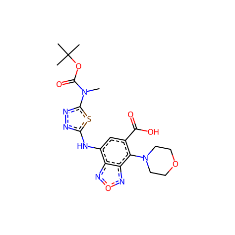 CN(C(=O)OC(C)(C)C)c1nnc(Nc2cc(C(=O)O)c(N3CCOCC3)c3nonc23)s1